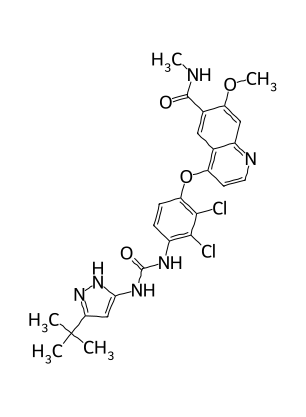 CNC(=O)c1cc2c(Oc3ccc(NC(=O)Nc4cc(C(C)(C)C)n[nH]4)c(Cl)c3Cl)ccnc2cc1OC